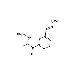 CO/N=C/C1=CCCN(C(=O)C(C)NC(=O)O)C1